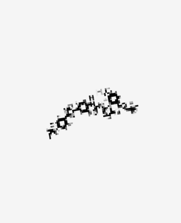 Cc1ccc(COCC(F)(F)F)c(N2C(=O)CS/C2=N\C(=O)Nc2ccc(-c3nc(-c4ccc(OC(F)(F)F)cc4)no3)cc2F)c1